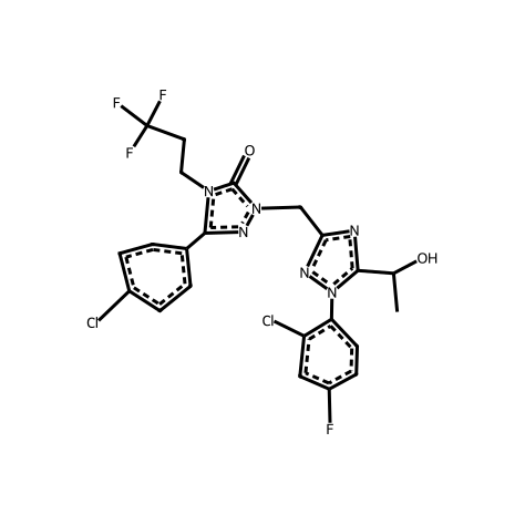 CC(O)c1nc(Cn2nc(-c3ccc(Cl)cc3)n(CCC(F)(F)F)c2=O)nn1-c1ccc(F)cc1Cl